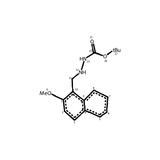 COc1ccc2ccccc2c1CNNC(=O)OC(C)(C)C